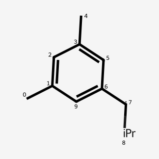 Cc1cc(C)cc([CH]C(C)C)c1